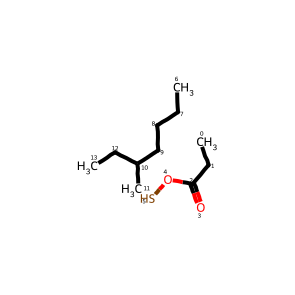 CCC(=O)OS.CCCCC(C)CC